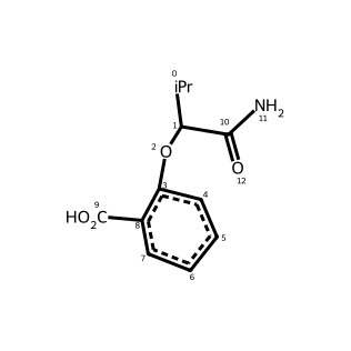 CC(C)C(Oc1ccccc1C(=O)O)C(N)=O